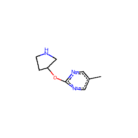 Cc1cnc(OC2CCNC2)nc1